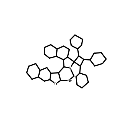 C1CCC(C2C(C3CCCCC3)C3(C4CCC5CCCCC5C4C4C5C(NCN43)OC3CC4CCCCC4CC35)C2C2CCCCC2)CC1